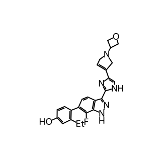 CCc1cc(O)ccc1-c1ccc2c(-c3nc(C4=CCN(C5COC5)C4)c[nH]3)n[nH]c2c1F